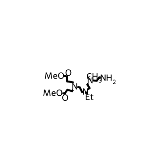 CCN(CCN(C)CCN)CCN(CCC(=O)OC)CCC(=O)OC